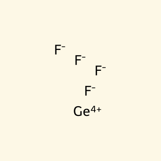 [F-].[F-].[F-].[F-].[Ge+4]